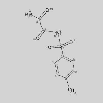 Cc1ccc(S(=O)(=O)NC(=O)C(N)=O)cc1